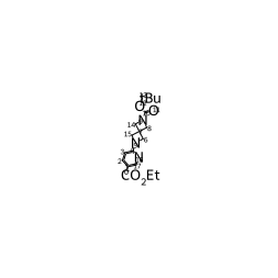 CCOC(=O)c1ccc(N2CC3(CN(C(=O)OC(C)(C)C)C3)C2)nc1